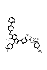 Cc1c(OC2CCN(c3ncccn3)CC2)ccc2c(-c3ncc(C(=O)NC4(C(=O)O)CC5CC(C)CC4C5)c(C(F)(F)F)n3)cn(C3CCC(F)(F)CC3)c12